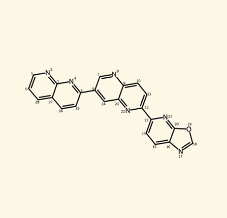 c1cnc2nc(-c3cnc4ccc(-c5ccc6ncoc6n5)nc4c3)ccc2c1